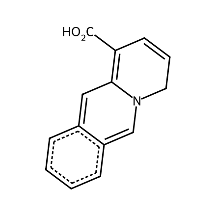 O=C(O)C1=C2C=c3ccccc3=CN2CC=C1